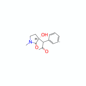 CC(=O)C(c1c[c]ccc1)[C@]1(O)CCN(C)C1=O